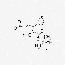 CN(C(=O)OC(C)(C)C)C(CCC(=O)O)c1ccsc1